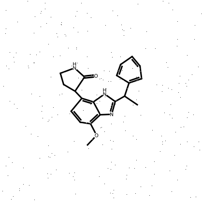 COc1ccc(C2CCNC2=O)c2[nH]c(C(C)c3ccccc3)nc12